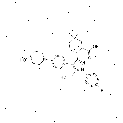 O=C(O)C1CC(F)(F)CCC1c1nn(-c2ccc(F)cc2)c(CO)c1-c1ccc(N2CCS(O)(O)CC2)cc1